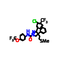 CSCCC1(c2ccccc2)CN(C(=O)Nc2ccc(OC(F)(F)F)cc2)N=C1c1ccc(C(F)(F)F)c(Cl)c1